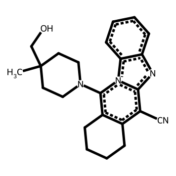 CC1(CO)CCN(c2c3c(c(C#N)c4nc5ccccc5n24)CCCC3)CC1